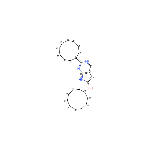 B(c1cc2cnc(C3CCCCCCCCC3)nc2[nH]1)C1CCCCCCCCC1